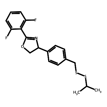 CC(C)SSCc1ccc(C2COC(c3c(F)cccc3F)=N2)cc1